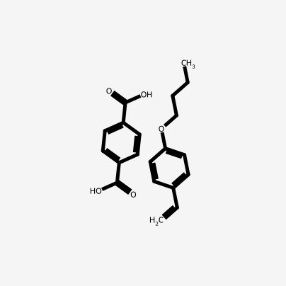 C=Cc1ccc(OCCCC)cc1.O=C(O)c1ccc(C(=O)O)cc1